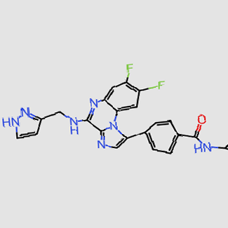 O=C(NC1CC1)c1ccc(-c2cnc3c(NCc4cc[nH]n4)nc4cc(F)c(F)cc4n23)cc1